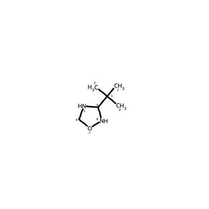 CC(C)(C)C1NCON1